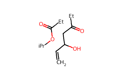 C=CC(O)CC(=O)CC.CCC(=O)OC(C)C